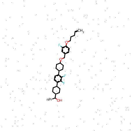 C=CCCCOc1ccc(COC2CCC(c3ccc(C4CCC(C(O)CCC)CC4)c(F)c3F)CC2)cc1F